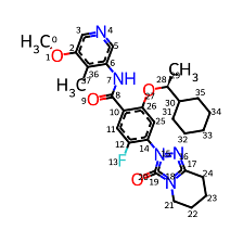 COc1cncc(NC(=O)c2cc(F)c(-n3nc4n(c3=O)CCCC4)cc2O[C@@H](C)C2CCCCC2)c1C